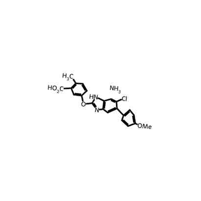 COc1ccc(-c2cc3nc(Oc4ccc(C)c(C(=O)O)c4)[nH]c3cc2Cl)cc1.N